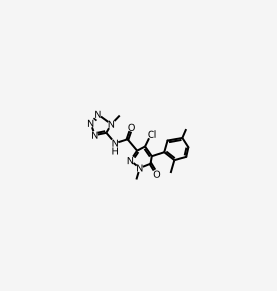 Cc1ccc(C)c(-c2c(Cl)c(C(=O)Nc3nnnn3C)nn(C)c2=O)c1